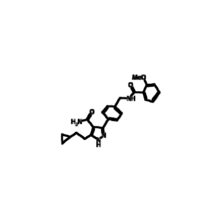 COc1ccccc1C(=O)NCc1ccc(-c2n[nH]c(CCC3CC3)c2C(N)=O)cc1